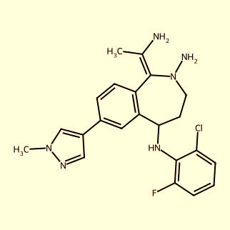 C/C(N)=C1\c2ccc(-c3cnn(C)c3)cc2C(Nc2c(F)cccc2Cl)CCN1N